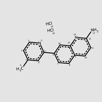 Cc1ccnc(-c2ccc3ccc(N)nc3c2)c1.Cl.Cl